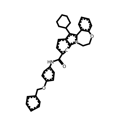 O=C(Nc1ccc(OCc2ccccc2)cc1)c1ccc2c(C3CCCCC3)c3n(c2c1)CCOc1ccccc1-3